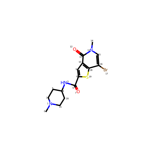 CN1CCC(NC(=O)c2cc3c(=O)n(C)cc(Br)c3s2)CC1